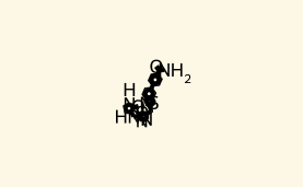 NC(=O)c1ccc(-c2ccc3nc(Cc4nnc(NC5CCNC5=O)o4)sc3c2)cc1